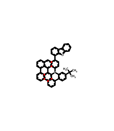 CC(C)(C)c1ccc(-c2ccccc2)c(N(c2ccc(-c3cccc4c3oc3ccccc34)cc2)c2ccccc2-c2cccc3cccc(-c4ccccc4)c23)c1